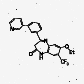 CCOc1cc2c(cc1C(F)(F)F)NC(=O)CC(c1cccc(-c3cccnc3)c1)=N2